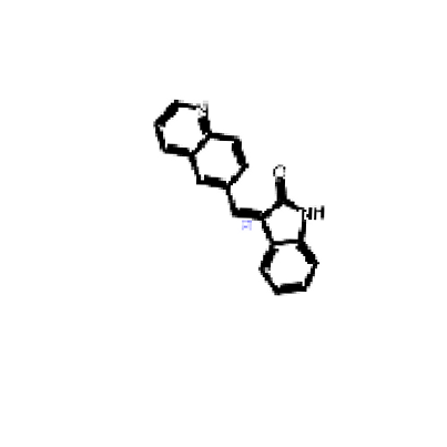 O=C1Nc2ccccc2/C1=C/c1ccc2ncccc2c1